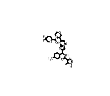 CC1NON=C1C(=O)NC(c1cn2ncc(C3COCCN3C(=O)C3CCC(F)(F)CO3)nc2n1)C1CCC(C(F)(F)F)CC1